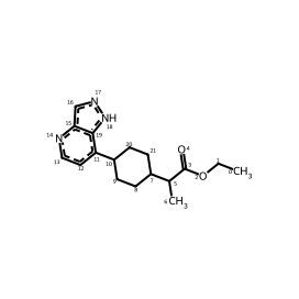 CCOC(=O)C(C)C1CCC(c2ccnc3cn[nH]c23)CC1